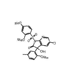 COc1ccc(S(=O)(=O)N2C(=O)C(O)(c3cc(C)ccc3OC)c3cc(Cl)cnc32)c(OC)c1